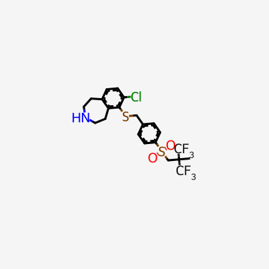 CC(CS(=O)(=O)c1ccc(CSc2c(Cl)ccc3c2CCNCC3)cc1)(C(F)(F)F)C(F)(F)F